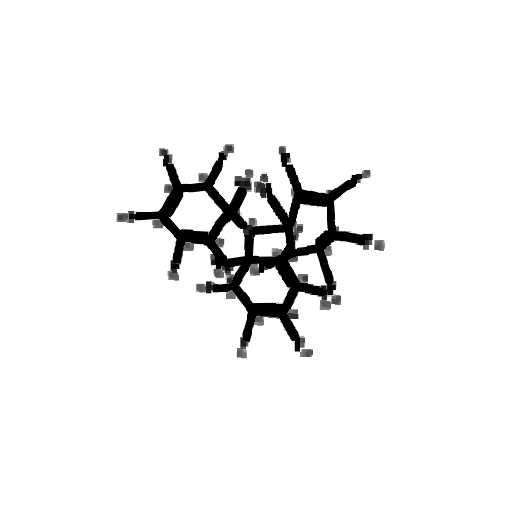 [2H]C1(B(C2([2H])C(F)=C(F)C(F)=C(F)C2F)C2([2H])C(F)=C(F)C(F)=C(F)C2F)C(F)=C(F)C(F)=C(F)C1F